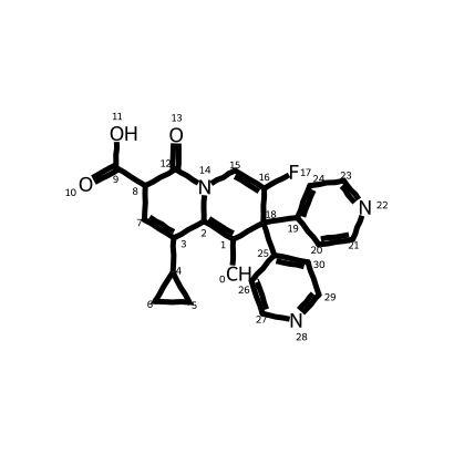 CC1=C2C(C3CC3)=CC(C(=O)O)C(=O)N2C=C(F)C1(c1ccncc1)c1ccncc1